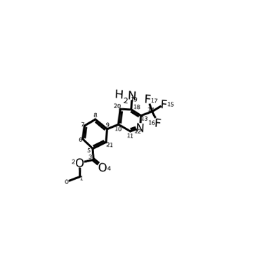 CCOC(=O)c1cccc(-c2cnc(C(F)(F)F)c(N)c2)c1